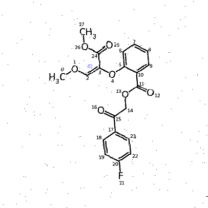 CO/C=C(/Oc1ccccc1C(=O)OCC(=O)c1ccc(F)cc1)C(=O)OC